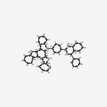 c1ccc(-c2nc(-c3ccc(-n4c5ccccc5c5c6sc7ccccc7c6c6c7cccnc7sc6c54)cc3)nc3ccccc23)cc1